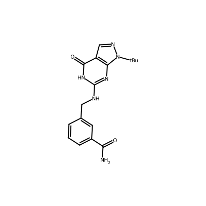 CC(C)(C)n1ncc2c(=O)[nH]c(NCc3cccc(C(N)=O)c3)nc21